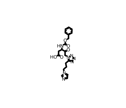 O=C(O)CC(NC(=O)OCc1ccccc1)C(=O)Cn1nnnc1CCCn1ccnc1